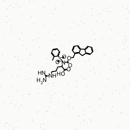 Cc1ccccc1S(=O)(=O)N(C(=O)OCc1cccc2c1Cc1ccccc1-2)C(CCCNC(=N)N)C(=O)O